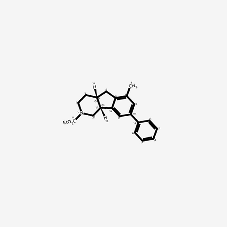 CCOC(=O)N1CC[C@@H]2Cc3c(C)cc(-c4ccccc4)cc3[C@@H]2C1